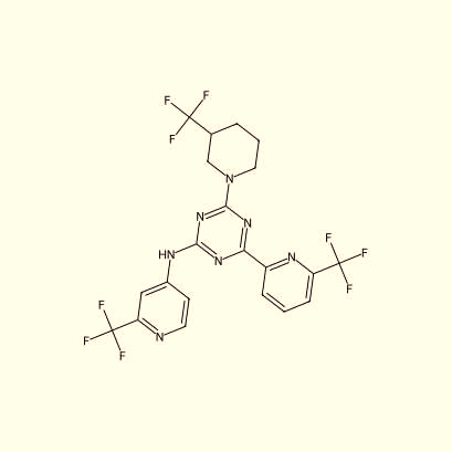 FC(F)(F)c1cc(Nc2nc(-c3cccc(C(F)(F)F)n3)nc(N3CCCC(C(F)(F)F)C3)n2)ccn1